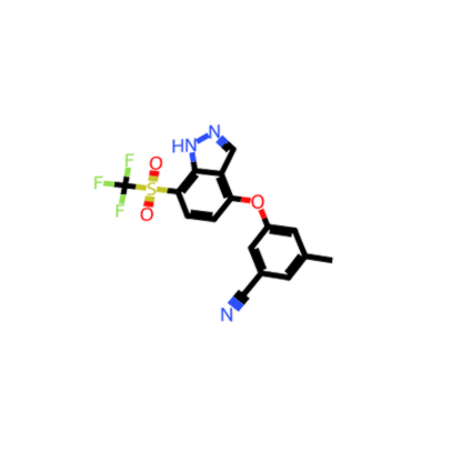 Cc1cc(C#N)cc(Oc2ccc(S(=O)(=O)C(F)(F)F)c3[nH]ncc23)c1